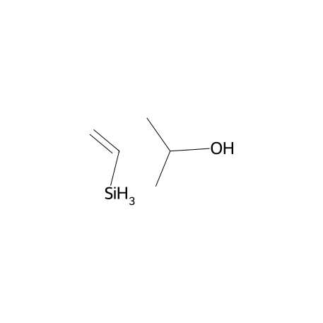 C=C[SiH3].CC(C)O